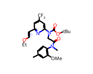 CCO/C=C/c1cc(C(F)(F)F)cc(N(CC(=O)N(C)c2ccc(C)cc2OC)C(=O)OC(C)(C)C)n1